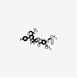 COc1cc(C(=O)NCC(CO)(c2cc3c(c(-c4ccc(F)cc4)n2)OCCC3C)C(F)(F)F)ccc1OC[C@@H](C)O